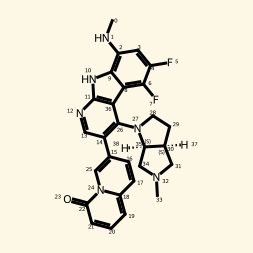 CNc1cc(F)c(F)c2c1[nH]c1ncc(-c3ccc4cccc(=O)n4c3)c(N3CC[C@H]4CN(C)C[C@H]43)c12